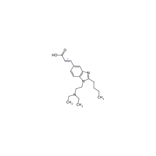 CCCCc1nc2cc(/C=C/C(=O)O)ccc2n1CCN(CC)CC